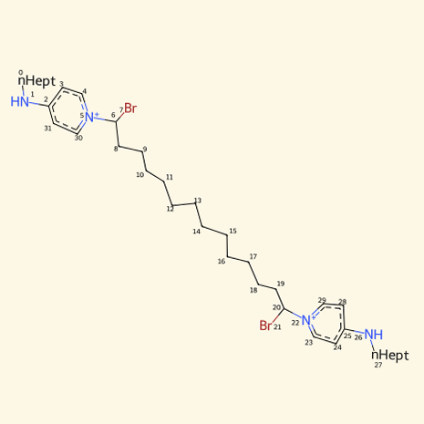 CCCCCCCNc1cc[n+](C(Br)CCCCCCCCCCCCC(Br)[n+]2ccc(NCCCCCCC)cc2)cc1